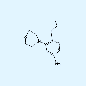 CCOc1ncc(N)cc1N1CCOCC1